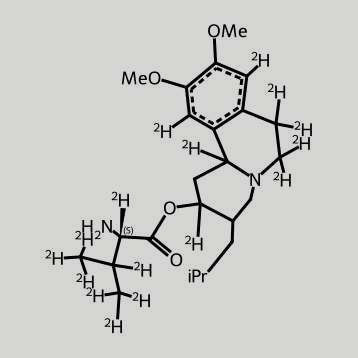 [2H]c1c(OC)c(OC)c([2H])c2c1C1([2H])CC([2H])(OC(=O)[C@@]([2H])(N)C([2H])(C([2H])([2H])[2H])C([2H])([2H])[2H])C(CC(C)C)CN1C([2H])([2H])C2([2H])[2H]